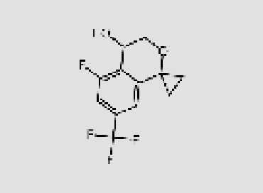 OC1COC2(CC2)c2cc(C(F)(F)F)cc(F)c21